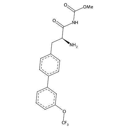 COC(=O)NC(=O)[C@@H](N)Cc1ccc(-c2cccc(OC(F)(F)F)c2)cc1